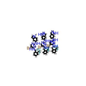 Cn1ccc2cc(Nc3ncc(Br)c(NCc4ccccc4C(F)(F)F)n3)ccc21.FC(F)(F)c1ccccc1CNc1nc(Nc2ccc3[nH]ncc3c2)ncc1Br.FC(F)(F)c1ccccc1CNc1nc(Nc2ccc3cn[nH]c3c2)ncc1Br